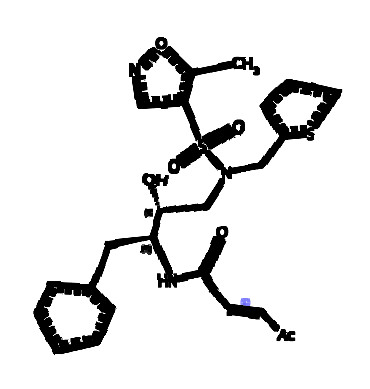 CC(=O)/C=C/C(=O)N[C@@H](Cc1ccccc1)[C@H](O)CN(Cc1cccs1)S(=O)(=O)c1cnoc1C